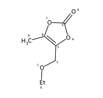 CCOCc1oc(=O)oc1C